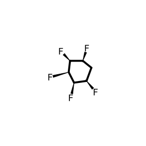 F[C@H]1[C@@H](F)[C@@H](F)C[C@@H](F)[C@H]1F